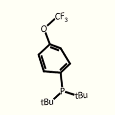 CC(C)(C)P(c1ccc(OC(F)(F)F)cc1)C(C)(C)C